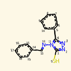 Sc1nnc(-c2ccccc2)n1/N=C/c1ccccc1